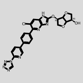 O[C@@H]1COC2C1OC[C@H]2Oc1nc2nc(-c3ccc(-c4ccc(-n5cnnn5)nc4)cc3)c(Cl)cc2[nH]1